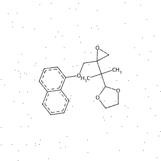 CC(C)(C1OCCO1)C1(COc2cccc3ccccc23)CO1